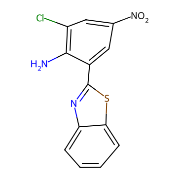 Nc1c(Cl)cc([N+](=O)[O-])cc1-c1nc2ccccc2s1